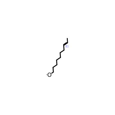 C/C=C/CCCCCCC[O]